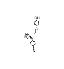 N#Cc1ccc(N(CCCCSc2ccc(O)cc2)n2cnnc2)cc1